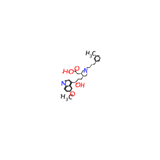 COc1ccc2nccc([C@@H](O)CC[C@@H]3CCN(CCCCc4cccc(C)c4)C[C@@H]3CC(=O)O)c2c1